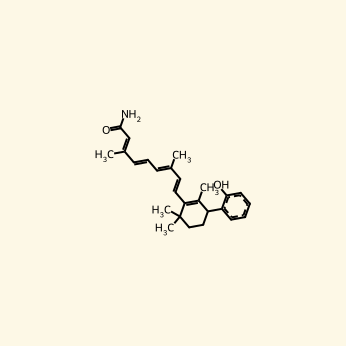 CC(C=CC1=C(C)C(c2ccccc2O)CCC1(C)C)=CC=CC(C)=CC(N)=O